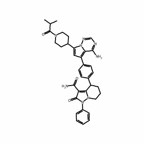 CC(C)C(=O)N1CCC(c2cc(-c3ccc(C4CCCn5c4c(C(N)=O)c(=O)n5-c4ccccc4)cc3)c3c(N)ncnn23)CC1